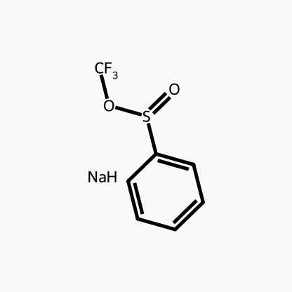 O=S(OC(F)(F)F)c1ccccc1.[NaH]